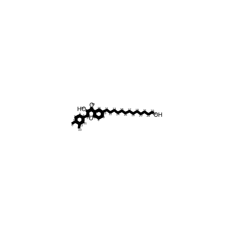 Cc1ccc(-c2oc3ccc(CCCCCCCCCCCCCO)cc3c(=O)c2O)cc1C